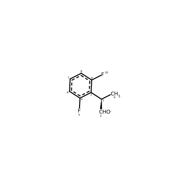 C[C@@H]([C]=O)c1c(F)cccc1F